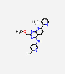 COCc1nc(Nc2ccc(CF)nc2)c2ccc(-c3ncccc3C)nc2n1